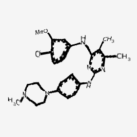 COc1cc(Nc2nc(Nc3ccc(N4CCN(C)CC4)cc3)nc(C)c2C)ccc1Cl